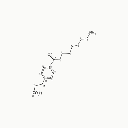 NCCCCCCCC(=O)c1ccc(CCC(=O)O)cc1